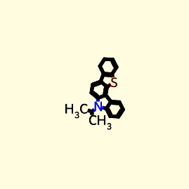 CC(C)n1c2ccccc2c2c3sc4c(c3ccc21)CCC=C4